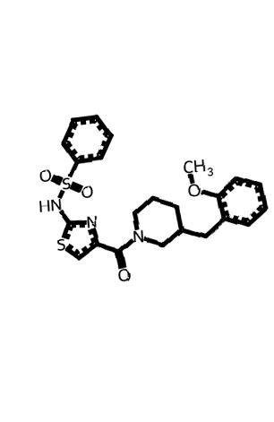 COc1ccccc1CC1CCCN(C(=O)c2csc(NS(=O)(=O)c3ccccc3)n2)C1